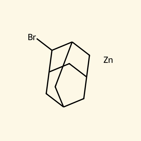 BrC1C2CC3CC(C2)CC1C3.[Zn]